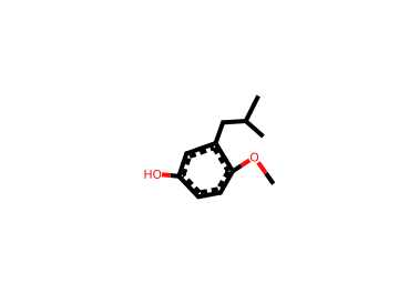 COc1ccc(O)cc1CC(C)C